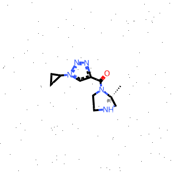 C[C@@H]1CNCCN1C(=O)c1cn(C2CC2)nn1